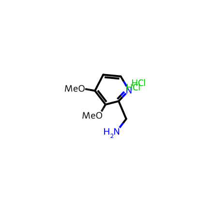 COc1ccnc(CN)c1OC.Cl.Cl